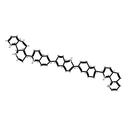 c1cnc2c(c1)ccc1ccc(-c3ccc4cc(-c5ccc6cc(-c7ccc8nc(-c9ccnc%10c9ccc9cccnc9%10)ccc8c7)ccc6n5)ccc4c3)nc12